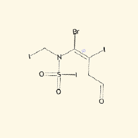 O=CC/C(I)=C(/Br)N(CI)S(=O)(=O)I